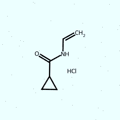 C=CNC(=O)C1CC1.Cl